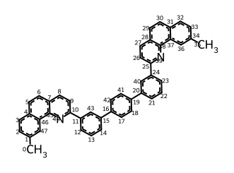 Cc1ccc2ccc3ccc(-c4cccc(-c5ccc(-c6cccc(-c7ccc8ccc9ccc(C)cc9c8n7)c6)cc5)c4)nc3c2c1